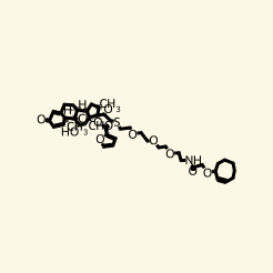 C[C@@H]1C[C@H]2[C@@H]3CCC4=CC(=O)C=C[C@]4(C)[C@@]3(Cl)[C@@H](O)C[C@]2(C)[C@@]1(OC(=O)c1ccco1)C(=O)CSCCOCCOCCOCCNC(=O)COC1C#CCCCCC1